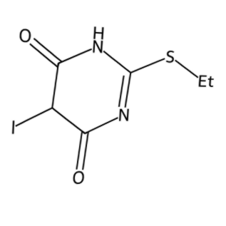 CCSC1=NC(=O)C(I)C(=O)N1